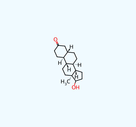 C[C@]12CC[C@H]3[C@@H](CC[C@H]4CC(=O)CC[C@@H]43)[C@@H]1CCC2O